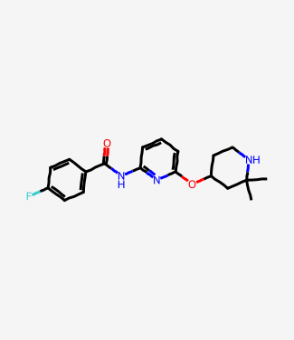 CC1(C)CC(Oc2cccc(NC(=O)c3ccc(F)cc3)n2)CCN1